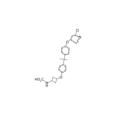 CC(C)(c1ccc(Oc2ccnc(Cl)c2)cc1)c1ccc(OC2CC(NC(=O)O)C2)cc1